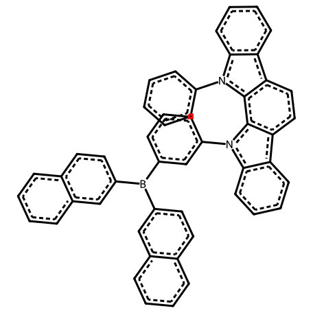 c1ccc(-n2c3ccccc3c3ccc4c5ccccc5n(-c5cccc(B(c6ccc7ccccc7c6)c6ccc7ccccc7c6)c5)c4c32)cc1